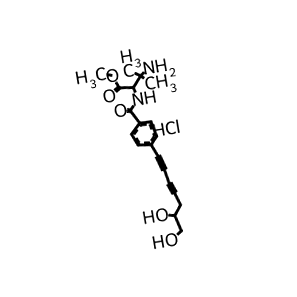 COC(=O)C(NC(=O)c1ccc(C#CC#CCC(O)CO)cc1)C(C)(C)N.Cl